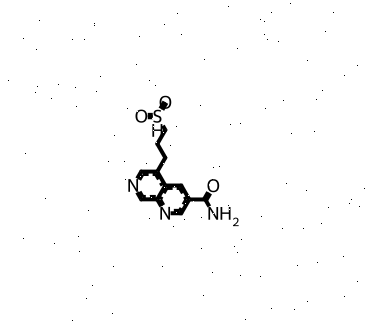 NC(=O)c1cnc2cncc(CCC[SH](=O)=O)c2c1